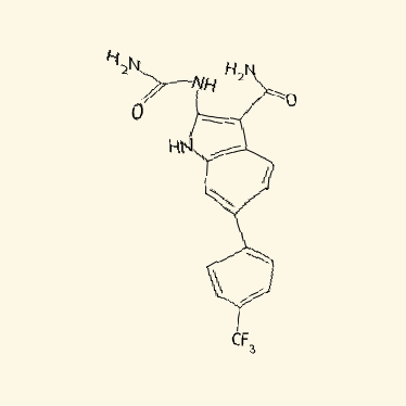 NC(=O)Nc1[nH]c2cc(-c3ccc(C(F)(F)F)cc3)ccc2c1C(N)=O